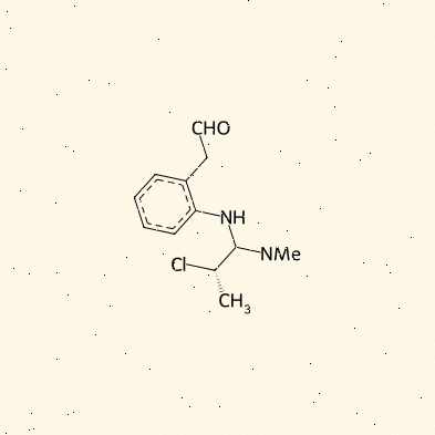 CNC(Nc1ccccc1CC=O)[C@H](C)Cl